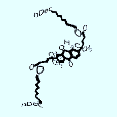 CCCCCCCCCCCCCCCCCCOC(=O)CCCC(C)(C)c1ccc2c(c1)C(=O)c1cc(C(C)(C)CCCC(=O)OCCCCCCCCCCCCCCCCCC)ccc1C2=O